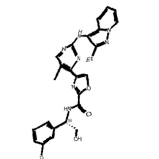 CCc1nn2ccccc2c1Nc1ncc(C)c(-c2coc(C(=O)N[C@H](CO)c3cccc(Cl)c3)n2)n1